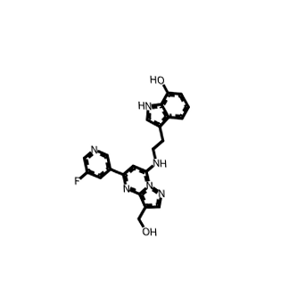 OCc1cnn2c(NCCc3c[nH]c4c(O)cccc34)cc(-c3cncc(F)c3)nc12